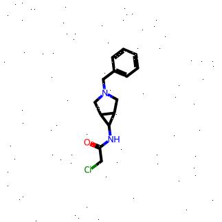 O=C(CCl)NC1C2CN(Cc3ccccc3)CC21